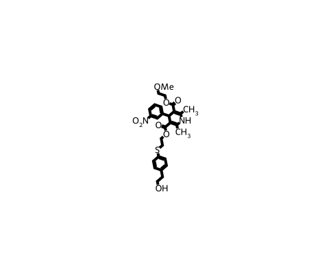 COCCOC(=O)C1=C(C)NC(C)=C(C(=O)OCCSc2ccc(CCO)cc2)C1c1cccc([N+](=O)[O-])c1